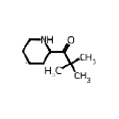 CC(C)(C)C(=O)C1C[CH]CCN1